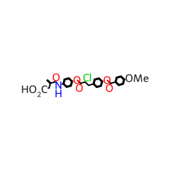 C=C(CC(=O)O)C(=O)Nc1ccc(OC(=O)C(Cl)Cc2ccc(OC(=O)c3ccc(OC)cc3)cc2)cc1